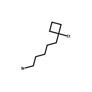 CCC1(CCCCCBr)CCC1